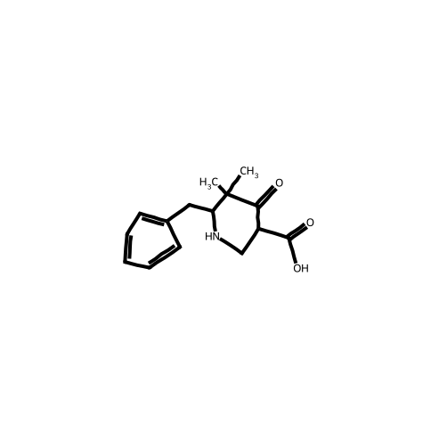 CC1(C)C(=O)C(C(=O)O)CNC1Cc1ccccc1